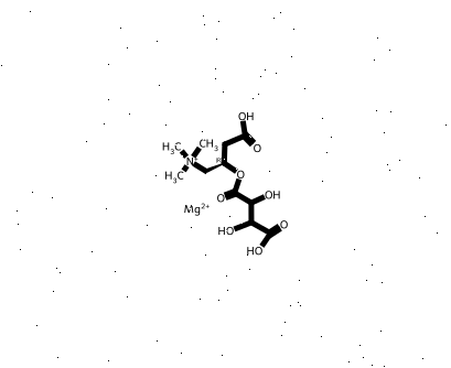 C[N+](C)(C)C[C@@H](CC(=O)O)OC(=O)C(O)C(O)C(=O)O.[Mg+2]